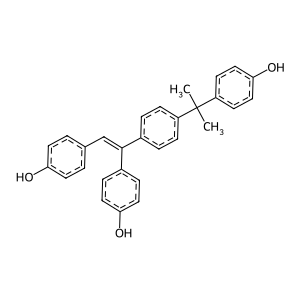 CC(C)(c1ccc(O)cc1)c1ccc(C(=Cc2ccc(O)cc2)c2ccc(O)cc2)cc1